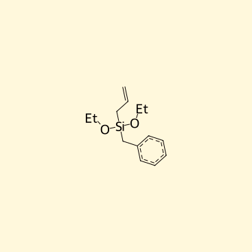 C=CC[Si](Cc1ccccc1)(OCC)OCC